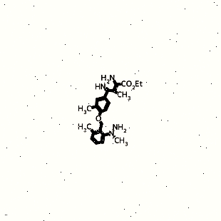 CCOC(=O)/C(N)=C(\C)C(=N)c1ccc(OCc2c(C)cccc2N(C)N)c(C)c1